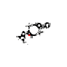 Nc1nc2c(ncn2[C@@H]2O[C@@H]3COP(=O)(S)O[C@@H]4[C@H](CC[C@H]4Nc4ncncn4)COP(=O)(S)O[C@@H]2[C@@H]3O)c(=O)[nH]1